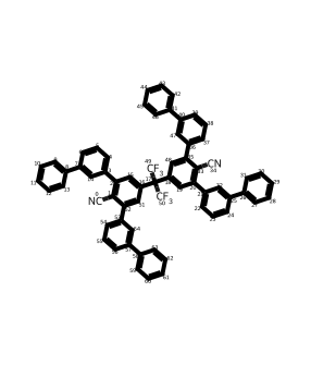 N#Cc1c(-c2cccc(-c3ccccc3)c2)cc(C(c2cc(-c3cccc(-c4ccccc4)c3)c(C#N)c(-c3cccc(-c4ccccc4)c3)c2)(C(F)(F)F)C(F)(F)F)cc1-c1cccc(-c2ccccc2)c1